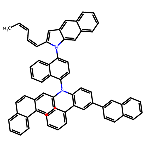 C/C=C\C=C/c1cc2cc3ccccc3cc2n1-c1ccc(N(c2ccc3c(ccc4ccccc43)c2)c2ccc(-c3ccc4ccccc4c3)cc2-c2ccccc2)c2ccccc12